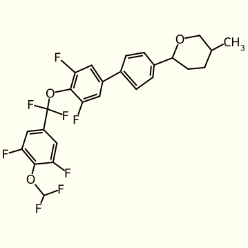 CC1CCC(c2ccc(-c3cc(F)c(OC(F)(F)c4cc(F)c(OC(F)F)c(F)c4)c(F)c3)cc2)OC1